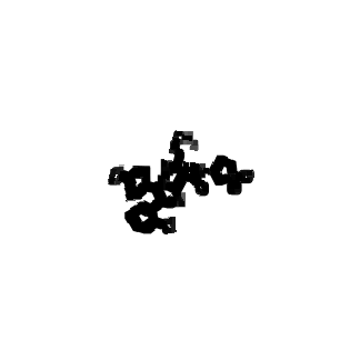 CSCc1nn2c(-c3ccc(Cl)cc3)c(-c3ccccc3Cl)cnc2c1C(=O)N[C@@H]1CCS(=O)(=O)C1